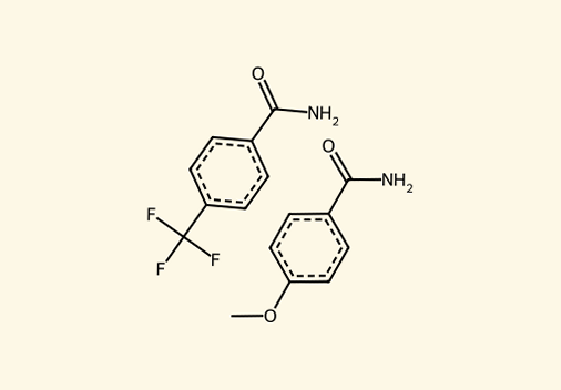 COc1ccc(C(N)=O)cc1.NC(=O)c1ccc(C(F)(F)F)cc1